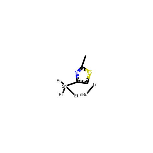 C[CH2][Sn]([CH2]C)([CH2]C)[c]1csc(C)n1.[Li][CH2]CCC